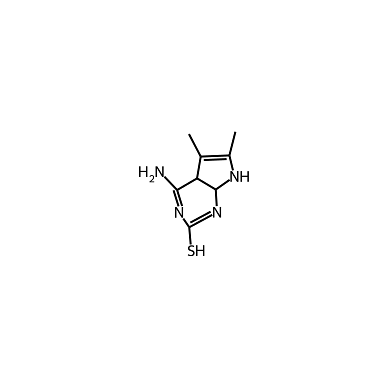 CC1=C(C)C2C(N)=NC(S)=NC2N1